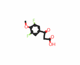 COc1c(F)cc(C(=O)CC(=O)O)cc1F